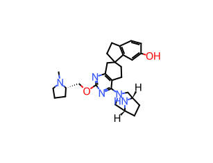 CN1CCC[C@H]1COc1nc2c(c(N3C[C@H]4CC[C@@H](C3)N4)n1)CCC1(CCc3ccc(O)cc31)C2